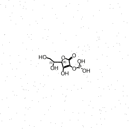 O=C1O[C@H]([C@@H](O)CO)C(O)=C1OP(O)O